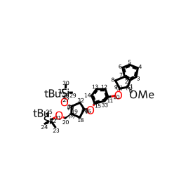 CO[C@H]1c2ccccc2C[C@@H]1Oc1cccc(O[C@@H]2C[C@@H](CO[Si](C)(C)C(C)(C)C)[C@H](O[Si](C)(C)C(C)(C)C)C2)c1